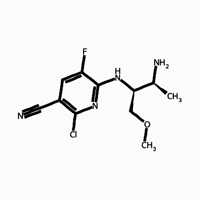 COC[C@@H](Nc1nc(Cl)c(C#N)cc1F)[C@H](C)N